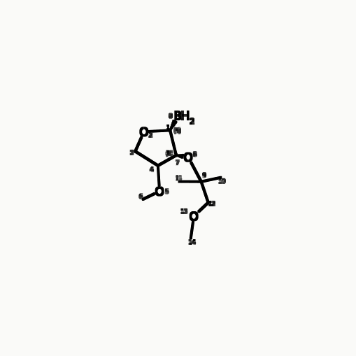 B[C@@H]1OCC(OC)[C@@H]1OC(C)(C)COC